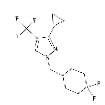 FC1(F)CCC(Cn2cc(C(F)(F)F)c(C3CC3)n2)CC1